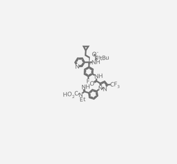 CCN(C(=N)c1cccc(-n2nc(C(F)(F)F)cc2C(=O)Nc2cc([C@@](CCC3CC3)(N[S@+]([O-])C(C)(C)C)c3cccnc3)ccc2F)c1)C(=O)O